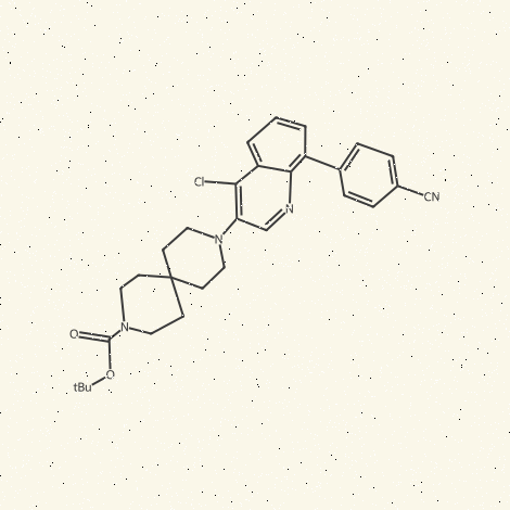 CC(C)(C)OC(=O)N1CCC2(CC1)CCN(c1cnc3c(-c4ccc(C#N)cc4)cccc3c1Cl)CC2